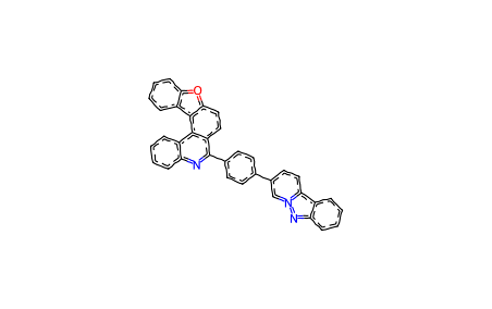 c1ccc2c(c1)nc(-c1ccc(-c3ccc4c5ccccc5nn4c3)cc1)c1ccc3oc4ccccc4c3c12